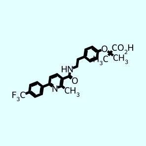 Cc1nc(-c2ccc(C(F)(F)F)cc2)ccc1C(=O)NCCc1ccc(OC(C)(C)C(=O)O)cc1